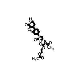 CC(=O)OCCOC(=O)N(C[C@H]1CN(c2ccc(C3CC[SH4]C(=O)C3=O)c(F)c2)C(=O)O1)C(C)=O